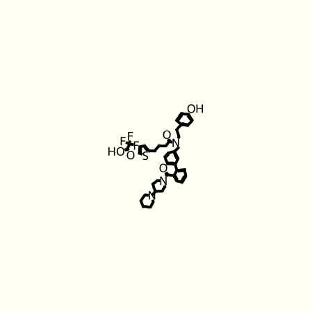 O=C(CCCc1cccs1)N(CCc1ccc(O)cc1)Cc1cccc(-c2ccccc2C(=O)N2CCC(N3CCCCC3)CC2)c1.O=C(O)C(F)(F)F